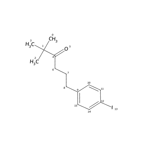 CC(C)(C)C(=O)CCCc1ccc(I)cc1